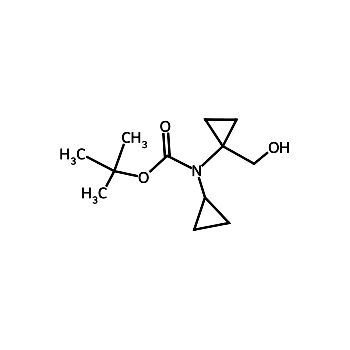 CC(C)(C)OC(=O)N(C1CC1)C1(CO)CC1